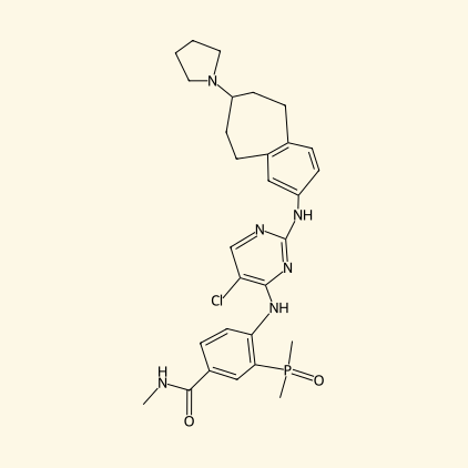 CNC(=O)c1ccc(Nc2nc(Nc3ccc4c(c3)CCC(N3CCCC3)CC4)ncc2Cl)c(P(C)(C)=O)c1